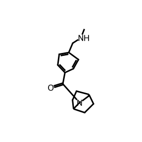 CNCc1ccc(C(=O)N2CC3CCC(CC3)C2)cc1